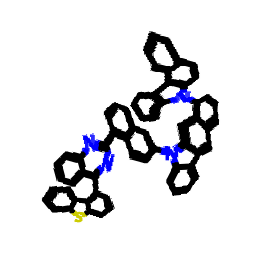 c1cc(-c2nc(-c3cccc4sc5ccccc5c34)c3ccccc3n2)c2ccc(-n3c4ccccc4c4cc5cccc(-n6c7ccccc7c7c8ccccc8ccc76)c5cc43)cc2c1